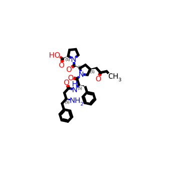 CCC(=O)C[C@@H]1C[C@@H](C(=O)N2CCC[C@H]2C(=O)O)N(C(=O)[C@H](Cc2ccccc2)NC(=O)C[C@@H](N)Cc2ccccc2)C1